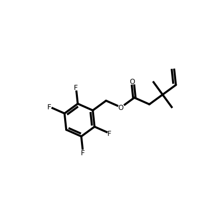 C=CC(C)(C)CC(=O)OCc1c(F)c(F)cc(F)c1F